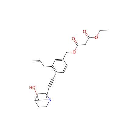 C=CCc1cc(COC(=O)CC(=O)OCC)ccc1C#CC1C(O)C2CCN1CC2